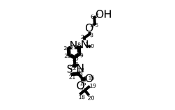 CN(CCOCCO)c1cc(-c2nc(C(=O)OC(C)(C)C)cs2)ccn1